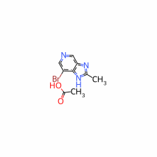 CC(=O)O.Cc1nc2cncc(Br)c2[nH]1